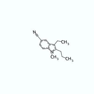 CCCc1c(CC)c2cc(C#N)ccc2n1C